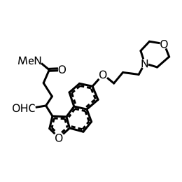 CNC(=O)CCC(C=O)c1coc2ccc3cc(OCCCN4CCOCC4)ccc3c12